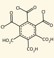 O=C(O)c1c(C(=O)O)c(C(=O)Cl)c(C(=O)Cl)c(C(=O)Cl)c1C(=O)O